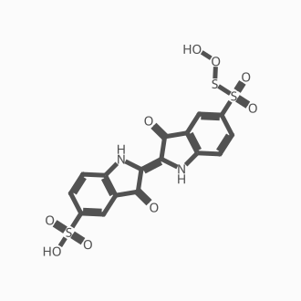 O=C1/C(=C2\Nc3ccc(S(=O)(=O)SOO)cc3C2=O)Nc2ccc(S(=O)(=O)O)cc21